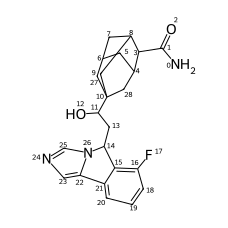 NC(=O)C1C2CC3CC1CC(C(O)CC1c4c(F)cccc4-c4cncn41)(C3)C2